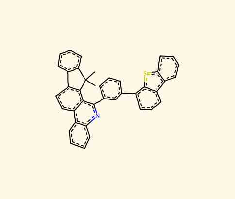 CC1(C)c2ccccc2-c2ccc3c(c(-c4cccc(-c5cccc6c5sc5ccccc56)c4)nc4ccccc43)c21